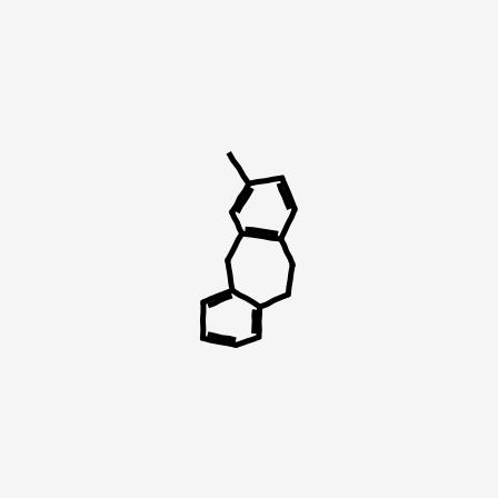 Cc1ccc2c(c1)Cc1ccccc1CC2